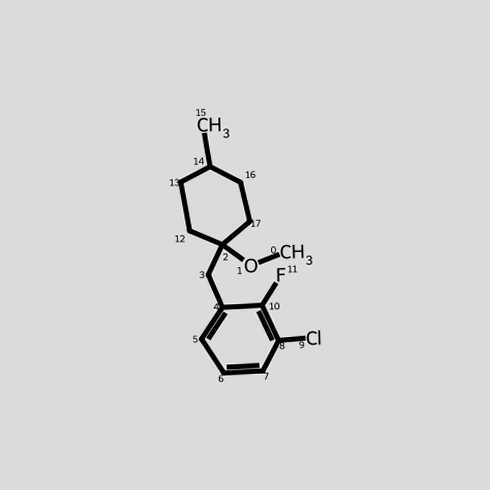 COC1(Cc2cccc(Cl)c2F)CCC(C)CC1